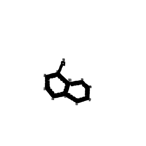 Clc1cccc2ccc[c]c12